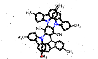 Cc1ccc2c(c1)-c1cc(C)ccc1C2c1c(C#N)c(-n2c3ccc(C)cc3c3cc(C)ccc32)c(-n2c3ccc(C)cc3c3cc(C)ccc32)c(C#N)c1-n1c2ccc(C)cc2c2cc(C)ccc21